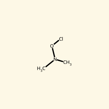 CN(C)OCl